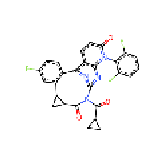 O=C(C1CC1)N1C(=O)C2CC2c2cc(F)ccc2-c2nc1nc1c2ccc(=O)n1-c1c(F)cccc1F